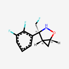 FC[C@]1(c2cccc(F)c2F)NO[C@@H]2C[C@@H]21